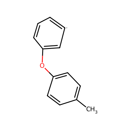 Cc1ccc(Oc2c[c]ccc2)cc1